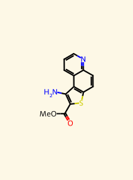 COC(=O)c1sc2ccc3ncccc3c2c1N